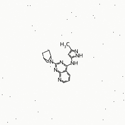 Cc1cc(Nc2nc(N3CC4CCC3C4)nc3ncccc23)[nH]n1